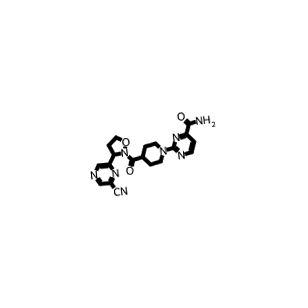 N#Cc1cncc(C2CCON2C(=O)C2CCN(c3nccc(C(N)=O)n3)CC2)n1